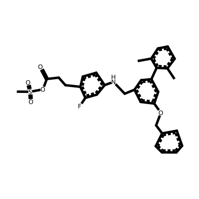 Cc1cccc(C)c1-c1cc(CNc2ccc(CCC(=O)OS(C)(=O)=O)c(F)c2)cc(OCc2ccccc2)c1